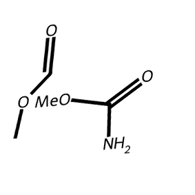 COC(N)=O.COC=O